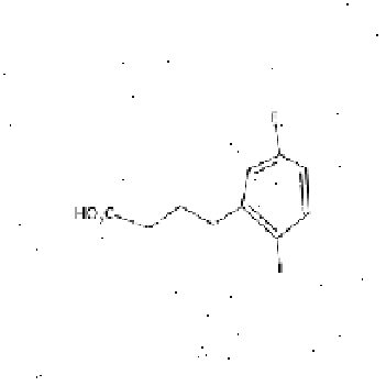 O=C(O)CCCc1cc(F)ccc1I